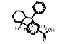 CN(C)C(c1ccccc1)C1CCCCC1(O)c1ccc(C(=O)O)cc1